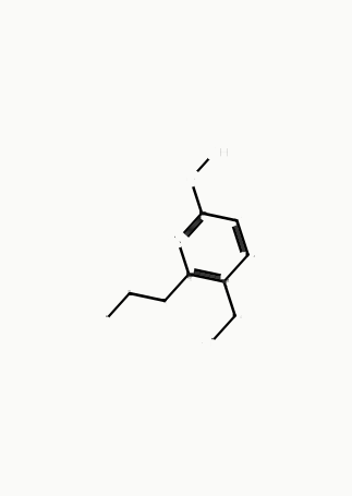 COc1ccc(CCl)c(CCCl)n1